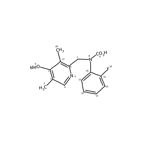 COc1c(C)cnc(CN(C(=O)O)c2ccccc2F)c1C